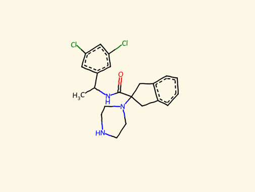 CC(NC(=O)C1(N2CCNCC2)Cc2ccccc2C1)c1cc(Cl)cc(Cl)c1